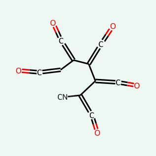 [C-]#[N+]C(=C=O)C(=C=O)C(=C=O)C(=C=O)C=C=O